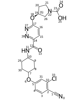 N#Cc1ccc(OC2CCC(NC(=O)c3ccc(O[C@H]4CCN(C(=O)O)C4)nn3)CC2)cc1Cl